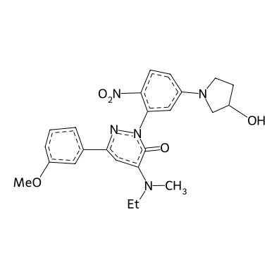 CCN(C)c1cc(-c2cccc(OC)c2)nn(-c2cc(N3CCC(O)C3)ccc2[N+](=O)[O-])c1=O